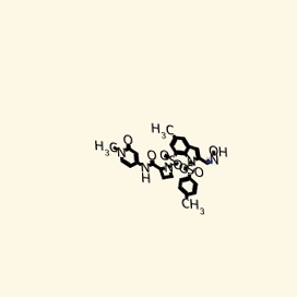 Cc1ccc(S(=O)(=O)n2c(/C=N\O)cc3cc(C)cc(S(=O)(=O)N4CCC4C(=O)Nc4ccn(C)c(=O)c4)c32)cc1